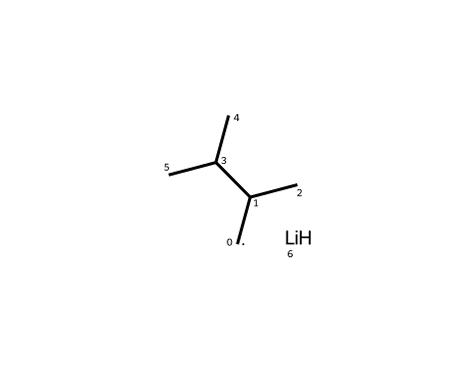 [CH2]C(C)C(C)C.[LiH]